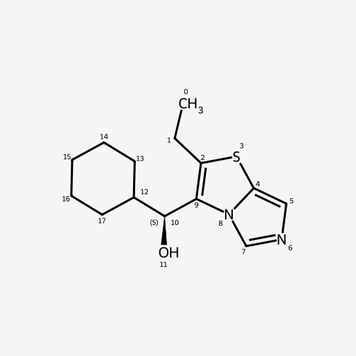 CCc1sc2cncn2c1[C@@H](O)C1CCCCC1